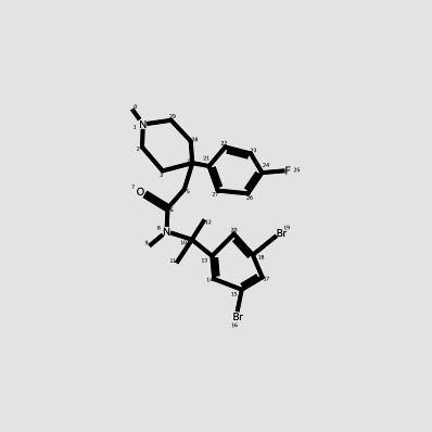 CN1CCC(CC(=O)N(C)C(C)(C)c2cc(Br)cc(Br)c2)(c2ccc(F)cc2)CC1